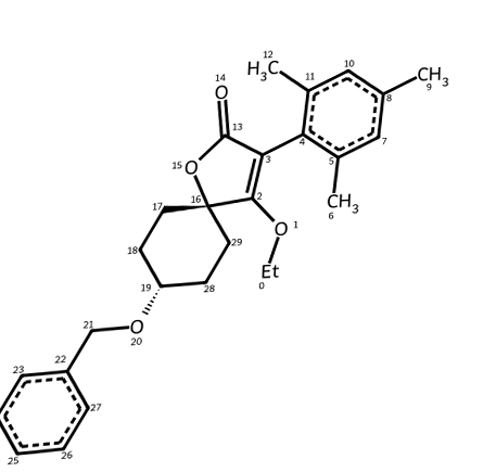 CCOC1=C(c2c(C)cc(C)cc2C)C(=O)O[C@]12CC[C@@H](OCc1ccccc1)CC2